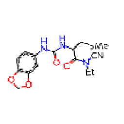 CCN(C#N)C(=O)C(CSC)NC(=O)Nc1ccc2c(c1)OCO2